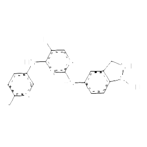 CN1NCc2cc(Nc3ncc(F)c(Nc4ccc(Cl)nc4)n3)ccc21